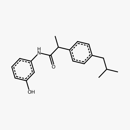 CC(C)Cc1ccc(C(C)C(=O)Nc2cccc(O)c2)cc1